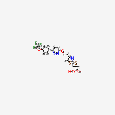 CC(C)(Sc1nc(CCOc2ccc(-c3ccc(OC(F)(F)F)cc3)nn2)cs1)C(=O)O